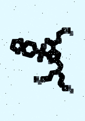 C=CCN(CC=C)Cc1cc(C(=O)OCC)c(S(=O)(=O)N2CCC3(CC2)OCCO3)s1